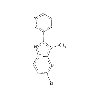 Cn1c(-c2cccnc2)nc2ccc(Cl)nc21